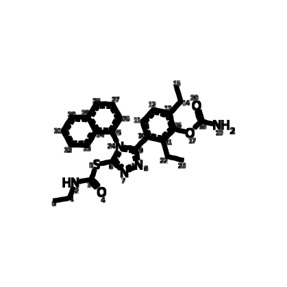 CCNC(=O)Sc1nnc(-c2ccc(CC)c(OC(N)=O)c2CC)n1-c1cccc2ccccc12